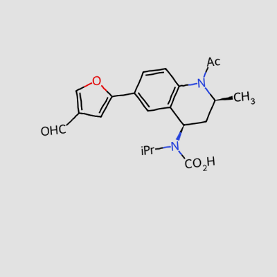 CC(=O)N1c2ccc(-c3cc(C=O)co3)cc2[C@H](N(C(=O)O)C(C)C)C[C@@H]1C